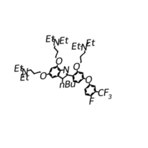 CCCCC1C(c2ccc(Oc3ccc(F)c(C(F)(F)F)c3)cc2OCCCN(CC)CC)=Nc2c(OCCCN(CC)CC)cc(OCCCN(CC)CC)cc21